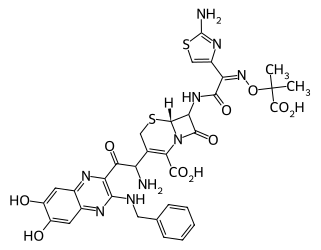 CC(C)(O/N=C(\C(=O)NC1C(=O)N2C(C(=O)O)=C(C(N)C(=O)c3nc4cc(O)c(O)cc4nc3NCc3ccccc3)CS[C@H]12)c1csc(N)n1)C(=O)O